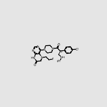 CC(C)NC[C@@H](C(=O)N1CCN(c2ncnc3c2N(CCF)CC(=O)N3)CC1)c1ccc(Cl)cc1